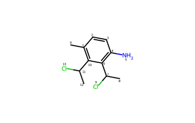 Cc1ccc(N)c(C(C)Cl)c1C(C)Cl